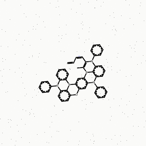 C=C/C=C\C1=C(C)B2c3cc4c(cc3N(c3ccccc3)c3cccc(c32)N1c1ccccc1)Oc1cccc2c1B4c1ccccc1N2c1ccccc1